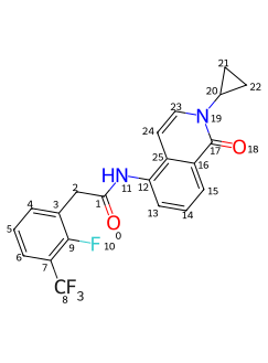 O=C(Cc1cccc(C(F)(F)F)c1F)Nc1cccc2c(=O)n(C3CC3)ccc12